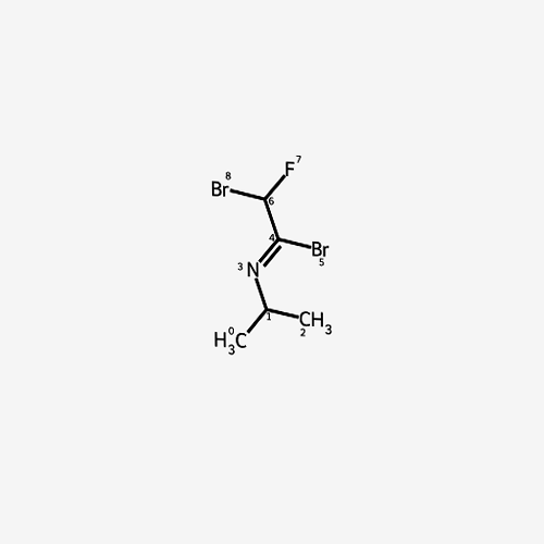 CC(C)N=C(Br)C(F)Br